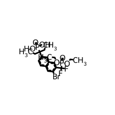 CCOP(=O)(OCC)C(F)(F)c1cc2cc(C(CC)(CC)P(=O)(O)O)ccc2cc1Br